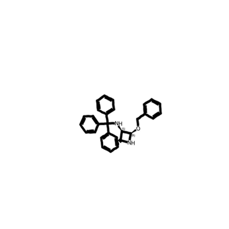 O=C1N[C@H](OCc2ccccc2)[C@@H]1NC(c1ccccc1)(c1ccccc1)c1ccccc1